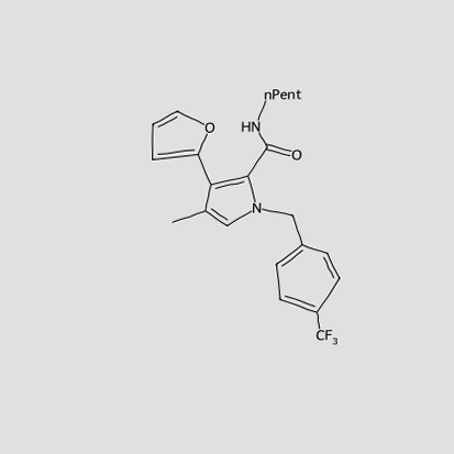 CCCCCNC(=O)c1c(-c2ccco2)c(C)cn1Cc1ccc(C(F)(F)F)cc1